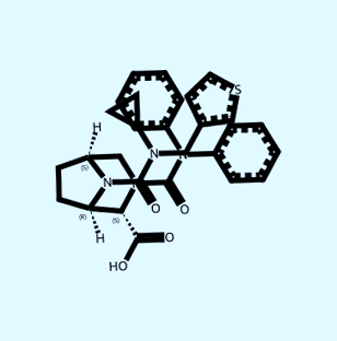 O=C(O)[C@@H]1[C@H]2CC[C@@H](CN1C(=O)N(c1ccccc1)c1ccccc1)N2C(=O)N(Cc1ccsc1)C1CC1